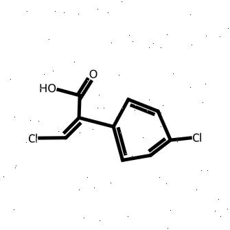 O=C(O)C(=CCl)c1ccc(Cl)cc1